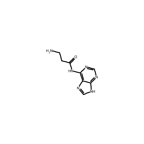 NCCC(=O)Nc1ncnc2[nH]cnc12